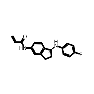 C=CC(=O)Nc1ccc2c(c1)CC[C@@H]2Nc1ccc(F)cc1